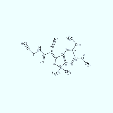 C#CCNC(=O)/C(C#N)=C1\CC(C)(C)c2cc(OC)c(OC)cc21